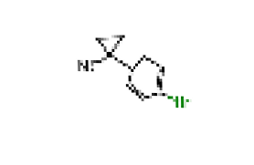 N#CC1(C2C=CC(Br)=CC2)CC1